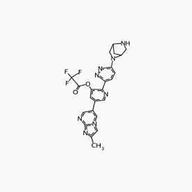 Cc1cn2cc(-c3cnc(-c4ccc(N5CC6CC5CN6)nn4)c(OC(=O)C(F)(F)F)c3)cnc2n1